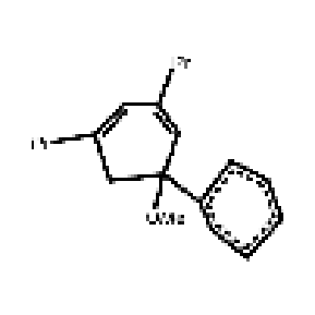 COC1(c2ccccc2)C=C(C(C)C)C=C(C(C)C)C1